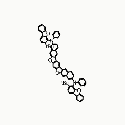 CC(C)(C)c1ccc2c(oc3ccccc32)c1N(c1ccccc1)c1ccc2cc3c(cc2c1)oc1cc2oc4cc5cc(N(c6ccccc6)c6c(C(C)(C)C)ccc7c6oc6ccccc67)ccc5cc4c2cc13